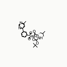 Cc1cc(-c2cccc(S(=O)(=O)NC(=O)[C@H](CC(C)C)NC(=O)OC(C)(C)C)c2)ncn1